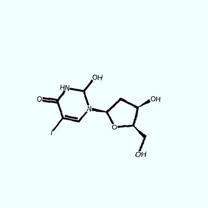 O=C1NC(O)N([C@H]2C[C@@H](O)[C@@H](CO)O2)C=C1I